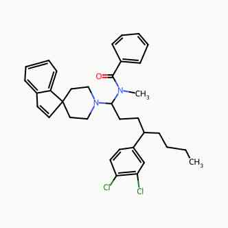 CCCCC(CCC(N1CCC2(C=Cc3ccccc32)CC1)N(C)C(=O)c1ccccc1)c1ccc(Cl)c(Cl)c1